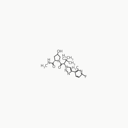 CNC(=O)[C@H]1CC(O)CN1C(=O)C(n1cc(-c2ccc(F)nc2C)nn1)C(C)(C)C